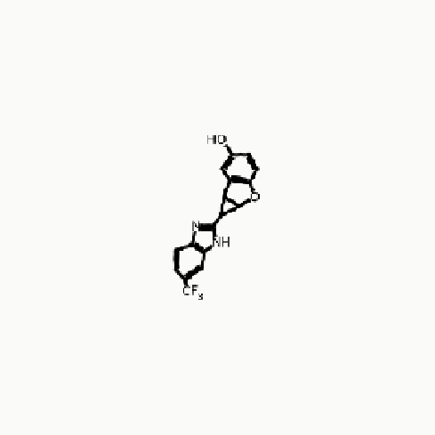 Oc1ccc2c(c1)C1C(O2)C1c1nc2ccc(C(F)(F)F)cc2[nH]1